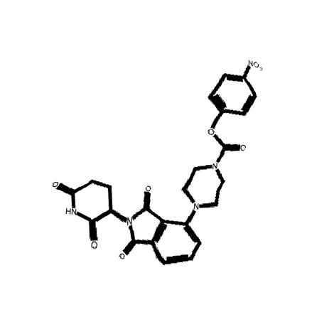 O=C1CCC(N2C(=O)c3cccc(N4CCN(C(=O)Oc5ccc([N+](=O)[O-])cc5)CC4)c3C2=O)C(=O)N1